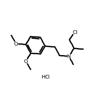 COc1ccc(CCN(C)C(C)CCl)cc1OC.Cl